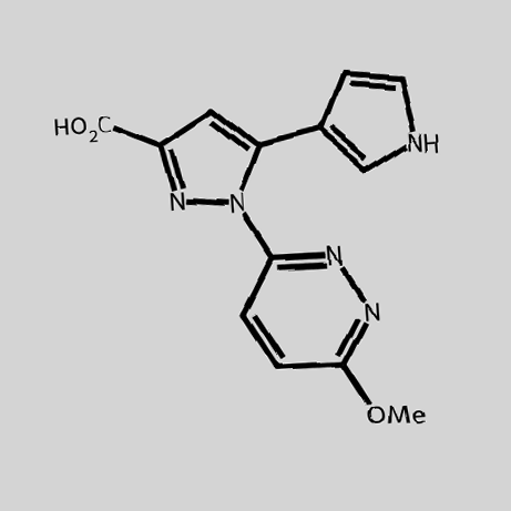 COc1ccc(-n2nc(C(=O)O)cc2-c2cc[nH]c2)nn1